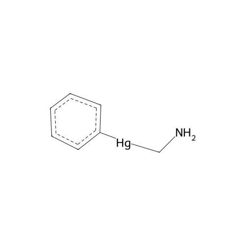 N[CH2][Hg][c]1ccccc1